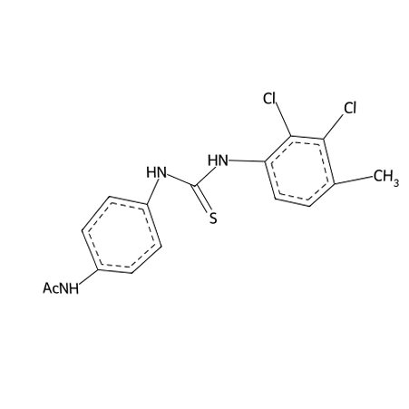 CC(=O)Nc1ccc(NC(=S)Nc2ccc(C)c(Cl)c2Cl)cc1